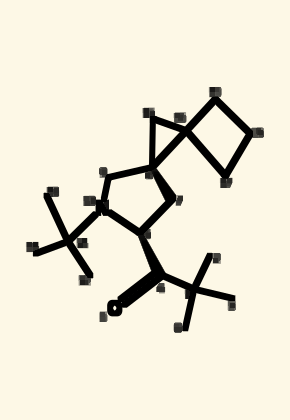 CC(C)(C)C(=O)[C@@H]1C[C@@]2(CN1C(C)(C)C)CC21CCC1